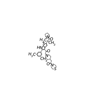 Cc1cc(C)cc(-c2[nH]c3sc(C(C)(C)C(=O)N4C5CCC4CC5)cc3c2C(=O)CN2CCC(CC(=O)N3CCSCC3)CC2)c1